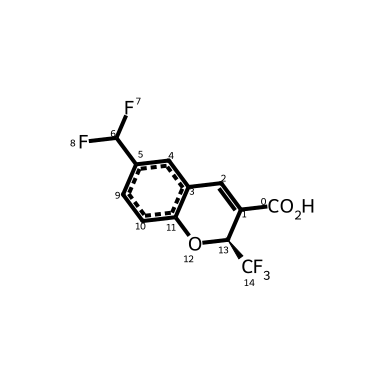 O=C(O)C1=Cc2cc(C(F)F)ccc2O[C@@H]1C(F)(F)F